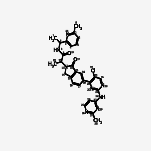 Cc1cccc(C(C)NC(=O)C(C)N2Cc3ccc(-c4nc(Nc5ccnc(C)n5)ncc4Cl)cc3C2=O)n1